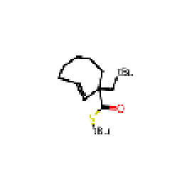 CC(C)(C)CC1(C(=O)SC(C)(C)C)/C=C/CCCCC1